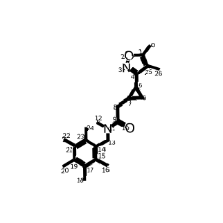 Cc1onc(C2CC2CC(=O)N(C)Cc2c(C)c(C)c(C)c(C)c2C)c1C